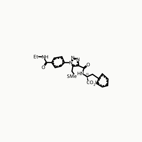 CCNC(=O)c1ccc(-n2nnc(C(=O)N[C@@H](Cc3ccccc3)C(=O)O)c2CSC)cc1